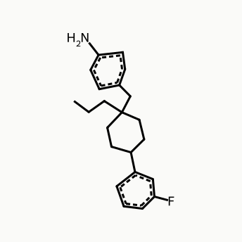 CCCC1(Cc2ccc(N)cc2)CCC(c2cccc(F)c2)CC1